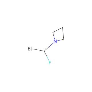 CCC(F)N1CCC1